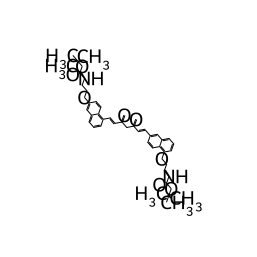 CC(C)(C)OC(=O)NCCOc1ccc2c(C=CC(=O)CC(=O)C=Cc3ccc4c(OCCNC(=O)OC(C)(C)C)cccc4c3)cccc2c1